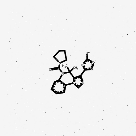 CC(C)c1nc(-c2ncn3c2C(C)(C)N(C(=O)N2CCCC2)c2ccccc2-3)no1